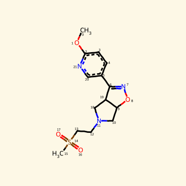 COc1ccc(C2=NOC3CN(CCS(C)(=O)=O)CC23)cn1